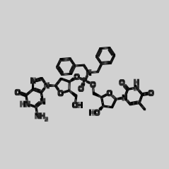 Cc1cn([C@H]2C[C@@H](O)[C@@H](COP(=O)(O[C@@H]3C[C@H](n4cnc5c(=O)[nH]c(N)nc54)O[C@@H]3CO)N(Cc3ccccc3)Cc3ccccc3)O2)c(=O)[nH]c1=O